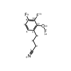 N#CCCCc1ccc(F)c(F)c1OF